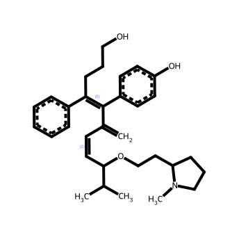 C=C(/C=C\C(OCCC1CCCN1C)C(C)C)/C(=C(/CCCO)c1ccccc1)c1ccc(O)cc1